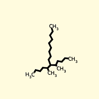 CCCCCCCCC[C](C(C)CCCC)C(C)CCCC